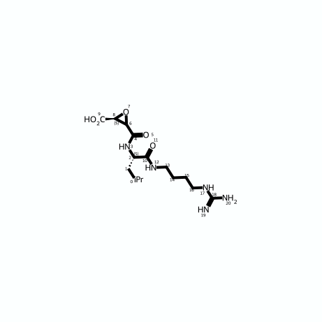 CC(C)C[C@H](NC(=O)C1O[C@@H]1C(=O)O)C(=O)NCCCCNC(=N)N